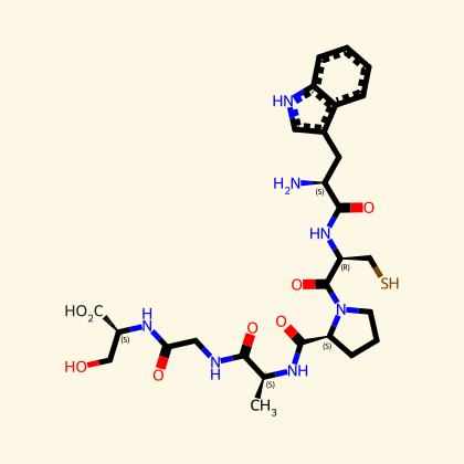 C[C@H](NC(=O)[C@@H]1CCCN1C(=O)[C@H](CS)NC(=O)[C@@H](N)Cc1c[nH]c2ccccc12)C(=O)NCC(=O)N[C@@H](CO)C(=O)O